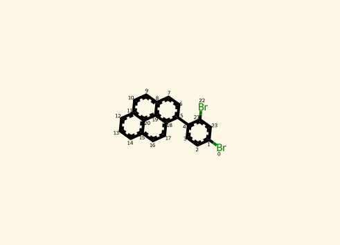 Brc1ccc(-c2ccc3ccc4cccc5ccc2c3c45)c(Br)c1